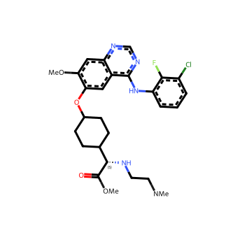 CNCCN[C@H](C(=O)OC)C1CCC(Oc2cc3c(Nc4cccc(Cl)c4F)ncnc3cc2OC)CC1